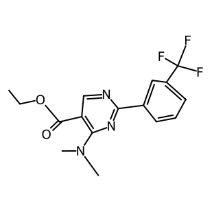 CCOC(=O)c1cnc(-c2cccc(C(F)(F)F)c2)nc1N(C)C